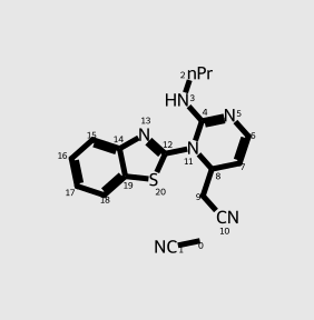 CC#N.CCCNC1=NC=CC(CC#N)N1c1nc2ccccc2s1